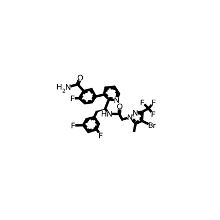 Cc1c(Br)c(C(F)(F)F)nn1CC(=O)N[C@@H](Cc1cc(F)cc(F)c1)c1ncccc1-c1ccc(F)c(C(N)=O)c1